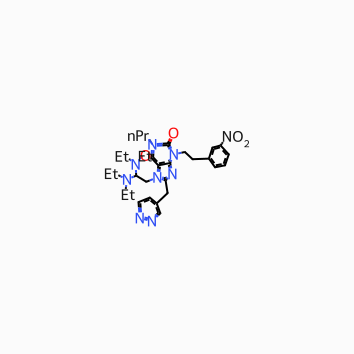 CCCn1c(=O)c2c(nc(Cc3ccnnc3)n2CC(N(CC)CC)N(CC)CC)n(CCc2cccc([N+](=O)[O-])c2)c1=O